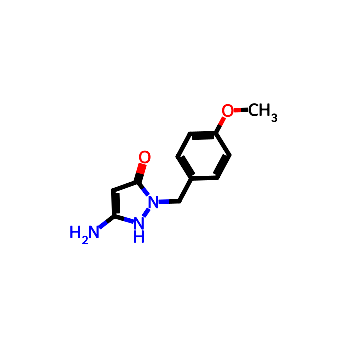 COc1ccc(Cn2[nH]c(N)cc2=O)cc1